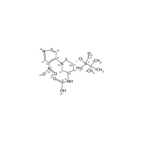 CC(C)(C)[Si](C)(C)O[C@@H]1CC(NC(=O)O)CN(c2ccncc2[N+](=O)[O-])C1